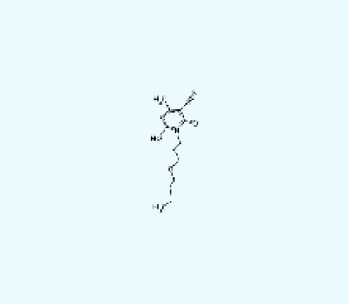 CCCCOCCCn1c(O)cc(C)c(C#N)c1=O